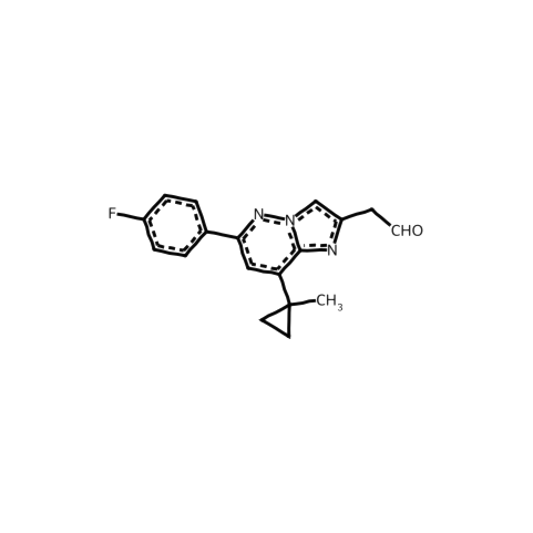 CC1(c2cc(-c3ccc(F)cc3)nn3cc(CC=O)nc23)CC1